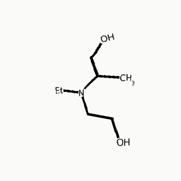 CCN(CCO)C(C)CO